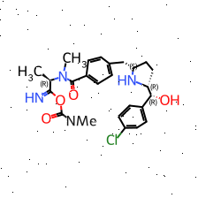 CNC(=O)OC(=N)[C@@H](C)N(C)C(=O)c1ccc(C[C@@H]2CC[C@H]([C@H](O)c3ccc(Cl)cc3)N2)cc1